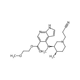 COCCOC(=O)c1cnc2[nH]ccc2c1N(C)[C@H]1CN(CCC#N)CC[C@H]1C